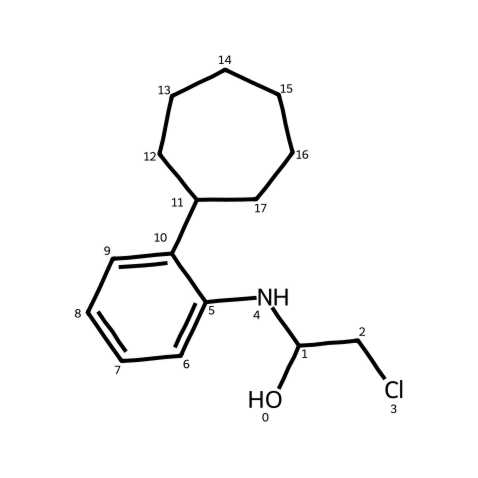 OC(CCl)Nc1ccccc1C1CCCCCC1